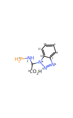 O=C(O)C(NP)n1nnc2ccccc21